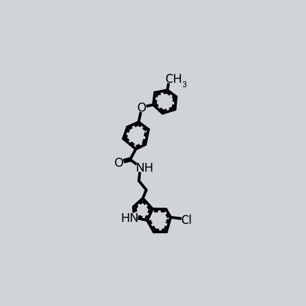 Cc1cccc(Oc2ccc(C(=O)NCCc3c[nH]c4ccc(Cl)cc34)cc2)c1